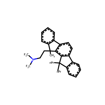 CCCC1(CCC)c2ccccc2-c2ccc3c(c21)C(C)(CCN(C(F)(F)F)C(F)(F)F)c1ccccc1-3